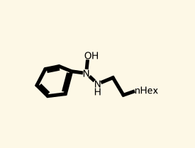 CCCCCCCCNN(O)c1ccccc1